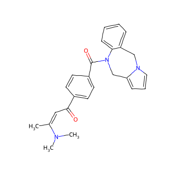 CC(=CC(=O)c1ccc(C(=O)N2Cc3cccn3Cc3ccccc32)cc1)N(C)C